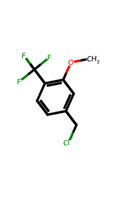 COc1cc(CCl)ccc1C(F)(F)F